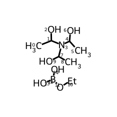 CC(O)N(C(C)O)C(C)O.CCOB(O)O